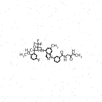 CNC(=O)CNC(=O)c1cccc(-n2ncc3c(NCC4(C(F)(F)F)CC(C)(c5cc(F)ccc5OC)O4)cc(C)cc32)c1